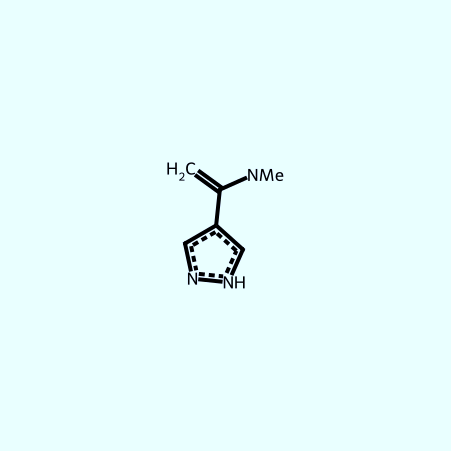 C=C(NC)c1cn[nH]c1